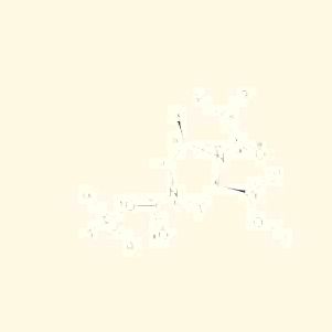 COC(=O)[C@H]1CN(C(=O)OC(C)(C)C)C[C@@H](C)N1C(=O)C(C)C